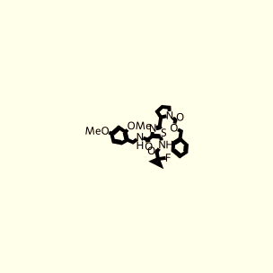 COc1ccc(CNC(=O)c2nc(C3CCCN3C(=O)OCc3ccccc3)sc2NC(=O)C2(F)CC2)c(OC)c1